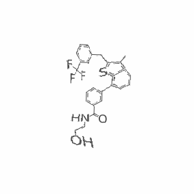 Cc1c(Cc2cccc(C(F)(F)F)c2)sc2c(-c3cccc(C(=O)NCCO)c3)cccc12